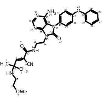 COCCNC(C)(C)/C=C(\C#N)C(=O)NCCn1c(=O)n(-c2ccc(Oc3ccccc3)cc2)c2c(N)ncnc21